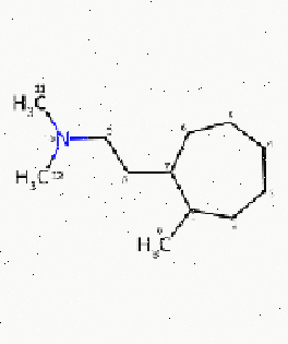 CC1CCCCCC1CCN(C)C